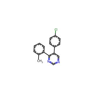 Cc1ccccc1-c1n[c]ncc1-c1ccc(Cl)cc1